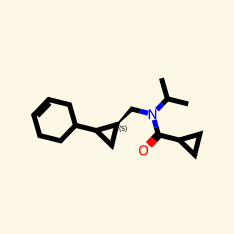 CC(C)N(C[C@H]1CC1C1CC=CCC1)C(=O)C1CC1